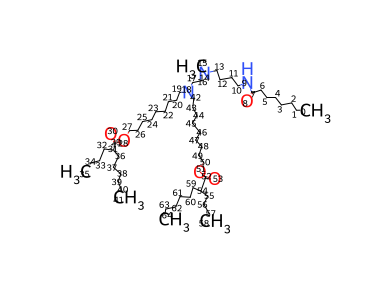 CCCCCCCC(=O)NCCCCN(C)CCN(CCCCCCCCCOC(=O)C(CCCC)CCCCCC)CCCCCCCCCOC(=O)C(CCCC)CCCCCC